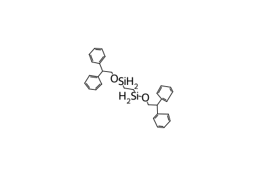 c1ccc(C(CO[SiH2]CC[SiH2]OCC(c2ccccc2)c2ccccc2)c2ccccc2)cc1